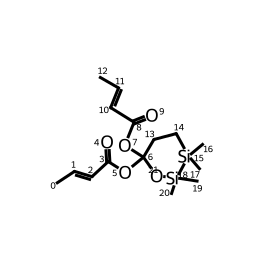 CC=CC(=O)OC1(OC(=O)C=CC)CC[Si](C)(C)[Si](C)(C)O1